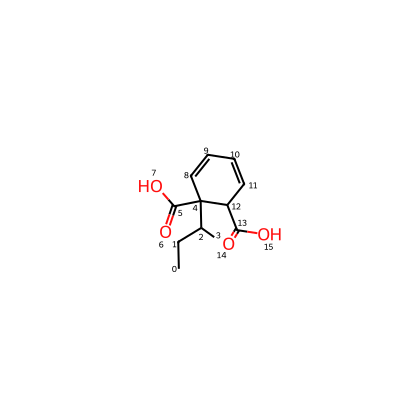 CCC(C)C1(C(=O)O)C=CC=CC1C(=O)O